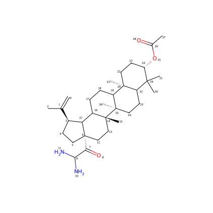 C=C(C)[C@@H]1CC[C@]2(C(=O)C(N)N)CC[C@]3(C)C(CCC4[C@@]5(C)CC[C@H](OC(C)=O)C(C)(C)C5CC[C@]43C)C12